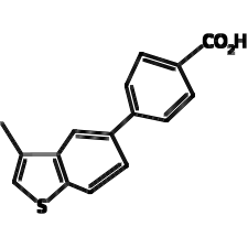 Cc1csc2ccc(-c3ccc(C(=O)O)cc3)cc12